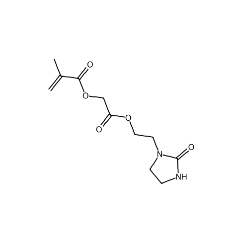 C=C(C)C(=O)OCC(=O)OCCN1CCNC1=O